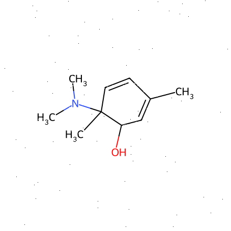 CC1=CC(O)C(C)(N(C)C)C=C1